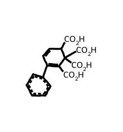 O=C(O)C1=C(c2ccccc2)C=CC(C(=O)O)C1(C(=O)O)C(=O)O